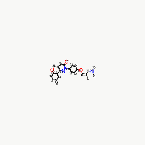 Cc1ccc2c(c1)-c1nn(-c3ccc(OCC(C)CN(C)C)cc3)c(=O)cc1CO2